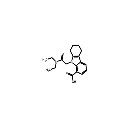 CCN(CC)C(=O)Cn1c2c(c3cccc(C(=O)O)c31)CCCC2